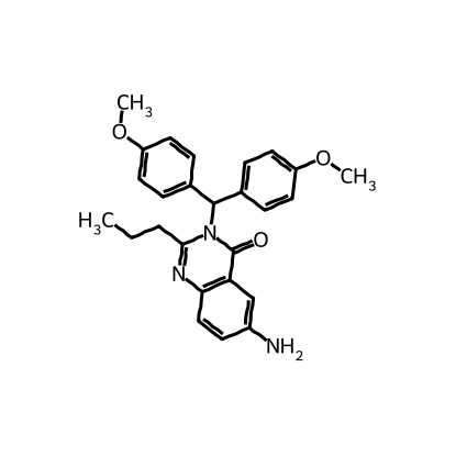 CCCc1nc2ccc(N)cc2c(=O)n1C(c1ccc(OC)cc1)c1ccc(OC)cc1